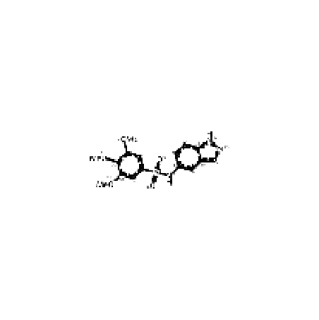 COc1cc(S(=O)(=O)Nc2ccc3[nH]ncc3c2)cc(OC)c1OC